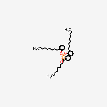 CCCCCCCCCc1ccccc1O[PH](OC=O)(Oc1ccccc1CCCCCCCCC)c1ccccc1CCCCCCCCC